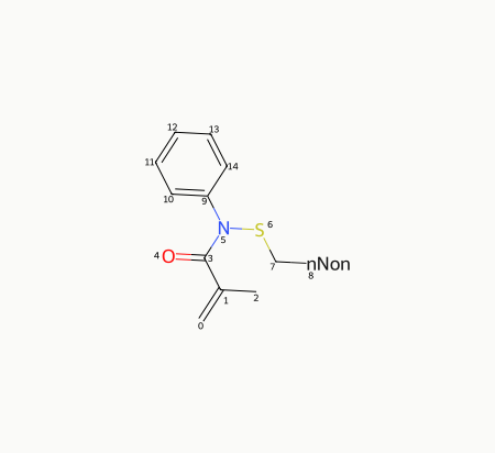 C=C(C)C(=O)N(SCCCCCCCCCC)c1ccccc1